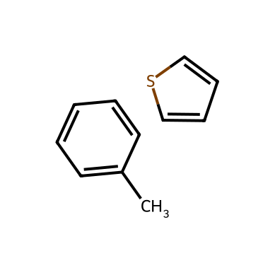 Cc1ccccc1.c1ccsc1